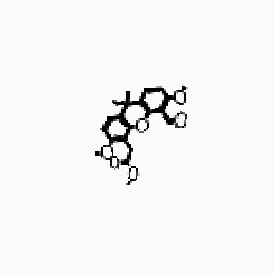 COC(=O)Cc1c(OC)ccc2c1Oc1c(ccc(OC)c1C=O)C2(C)C